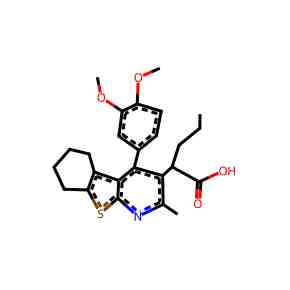 CCCC(C(=O)O)c1c(C)nc2sc3c(c2c1-c1ccc(OC)c(OC)c1)CCCC3